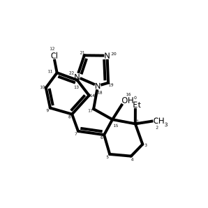 CCC1(C)CCC/C(=C/c2ccc(Cl)cc2)C1(O)Cn1cncn1